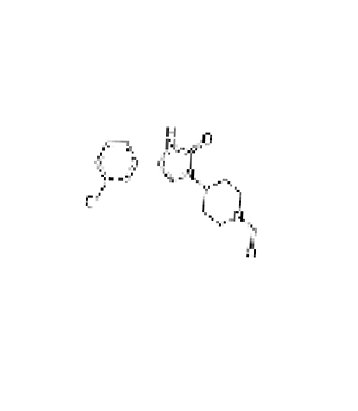 O=CN1CCC(n2cc(-c3cccc(Cl)c3)[nH]c2=O)CC1